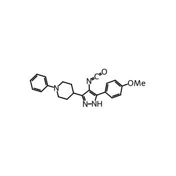 COc1ccc(-c2[nH]nc(C3CCN(c4ccccc4)CC3)c2N=C=O)cc1